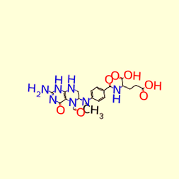 CN(c1ccc(C(=O)NC(CCC(=O)O)C(=O)O)cc1)[C@@H]1CNc2[nH]c(N)nc(=O)c2N1C=O